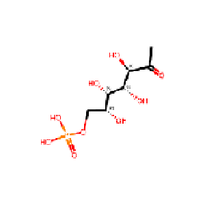 CC(=O)[C@H](O)[C@H](O)[C@@H](O)[C@H](O)COP(=O)(O)O